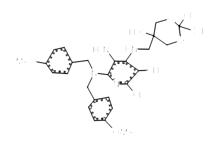 COc1ccc(CN(Cc2ccc(OC)cc2)c2nc(C)c(C)c(NCC3(C)COC(C)(C)OC3)c2N)cc1